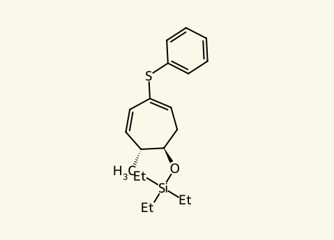 CC[Si](CC)(CC)O[C@@H]1CC=C(Sc2ccccc2)C=C[C@H]1C